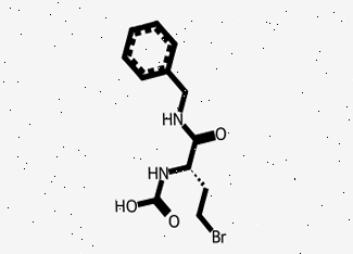 O=C(O)N[C@@H](CCBr)C(=O)NCc1ccccc1